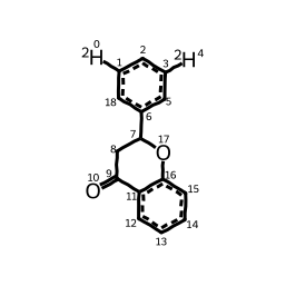 [2H]c1cc([2H])cc(C2CC(=O)c3ccccc3O2)c1